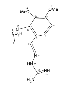 CC(=O)O.COc1ccc(/C=N/NC(=N)N)c(Cl)c1OC